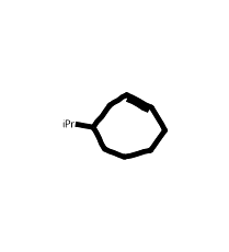 [CH2]C(C)C1CC=CCCCC1